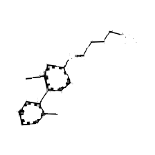 Cc1ccccc1-c1ccc(OCCCCN)cc1C